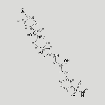 CNS(=O)(=O)c1cccc(OC[C@@H](O)CNC2COC3(CCN(S(=O)(=O)c4ccc(Br)c(C)c4)CC3)C2)c1